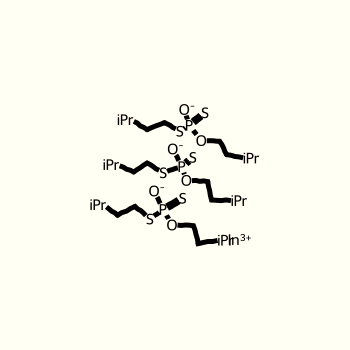 CC(C)CCOP([O-])(=S)SCCC(C)C.CC(C)CCOP([O-])(=S)SCCC(C)C.CC(C)CCOP([O-])(=S)SCCC(C)C.[In+3]